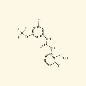 O=C(Nc1cc(Cl)cc(OC(F)(F)F)c1)Nc1cccc(F)c1CO